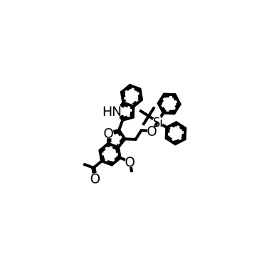 COc1cc(C(C)=O)cc2oc(-c3cc4ccccc4[nH]3)c(CCO[Si](c3ccccc3)(c3ccccc3)C(C)(C)C)c12